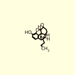 C=CCN1CC[C@]23c4c5ccc(O)c4O[C@H]2C(=O)CC[C@H]3[C@H]1C5